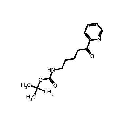 CC(C)(C)OC(=O)NCCCCC(=O)c1ccccn1